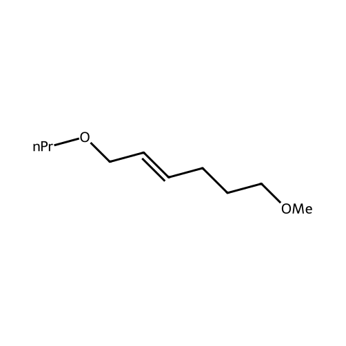 CCCOCC=CCCCOC